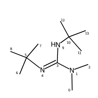 CN(C)C(=NC(C)(C)C)NC(C)(C)C